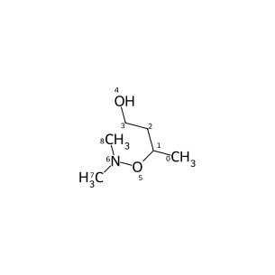 CC(CCO)ON(C)C